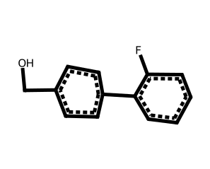 OCc1ccc(-c2ccccc2F)cc1